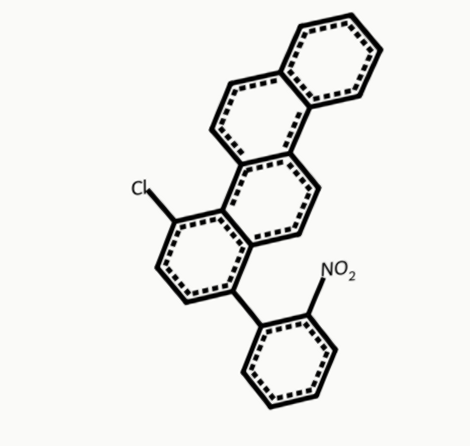 O=[N+]([O-])c1ccccc1-c1ccc(Cl)c2c1ccc1c3ccccc3ccc12